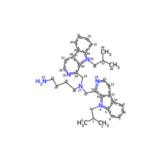 CC(C)Cn1c2ccccc2c2ccnc(CN(CCCCN)Cc3nccc4c5ccccc5n(CC(C)C)c34)c21